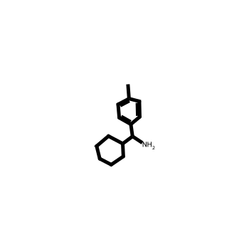 Cc1ccc(C(N)C2C[CH]CCC2)cc1